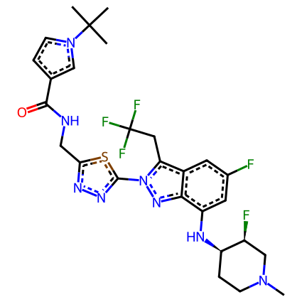 CN1CC[C@@H](Nc2cc(F)cc3c(CC(F)(F)F)n(-c4nnc(CNC(=O)c5ccn(C(C)(C)C)c5)s4)nc23)[C@@H](F)C1